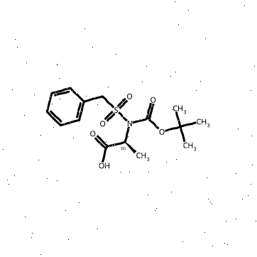 C[C@@H](C(=O)O)N(C(=O)OC(C)(C)C)S(=O)(=O)Cc1ccccc1